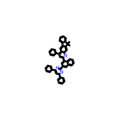 CC1(C)c2ccccc2-c2cc3c(-c4ccccc4)cc(-c4cc(-c5nc(-c6ccccc6)cc(-c6ccccc6)n5)cc5ccccc45)nc3cc21